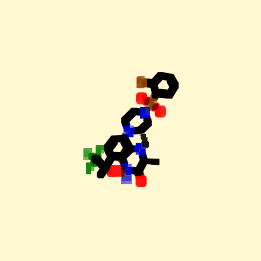 C[C@H]1C(=O)NCCN1C[C@H]1CN(S(=O)(=O)C2=CC=CCC2=S)CCN1c1ccc(C(C)(O)C(F)(F)F)cc1